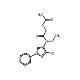 CCN(C(=O)CSC(C)=O)c1cn(-c2cccnc2)nc1Cl